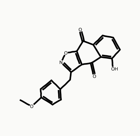 COc1ccc(Cc2noc3c2C(=O)c2c(O)cccc2C3=O)cc1